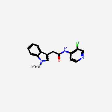 CCCCCn1cc(CC(=O)Nc2ccncc2Cl)c2ccccc21